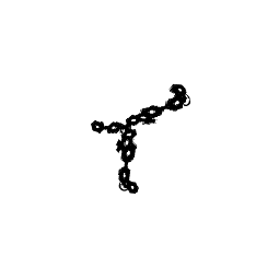 CC1(C)c2cc(-c3ccc4oc5ccccc5c4c3)ccc2-c2ccc(N(c3ccc(-c4ccccc4)cc3)c3ccc4c(c3)C(C)(C)c3cc(-c5ccc6oc7ccccc7c6c5)ccc3-4)cc21